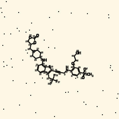 CS(=O)(=O)c1ccc(NCC#Cc2sc3c(NC4CCN(CC5COC(=O)O5)CC4)cccc3c2CC(F)(F)F)c(OCCO)c1